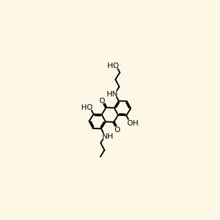 CCCNc1ccc(O)c2c1C(=O)c1c(O)ccc(NCCCO)c1C2=O